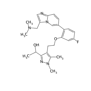 Cc1c(CCOc2cc(F)ccc2-c2ccc3ncc(CN(C)C)n3c2)c(C(C)O)nn1C